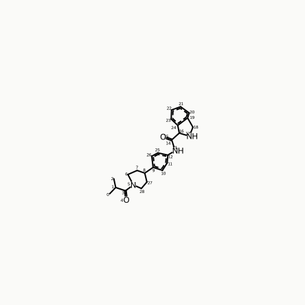 CC(C)C(=O)N1CCC(c2ccc(NC(=O)C3NCc4ccccc43)cc2)CC1